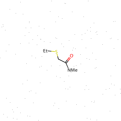 CCSCC(=O)NC